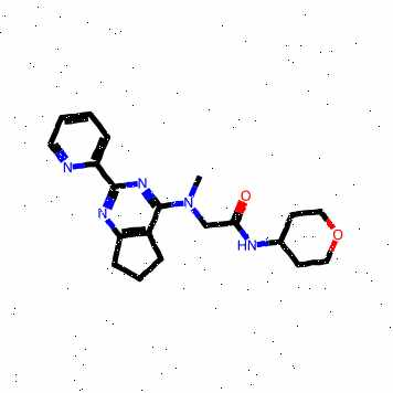 CN(CC(=O)NC1CCOCC1)c1nc(-c2ccccn2)nc2c1CCC2